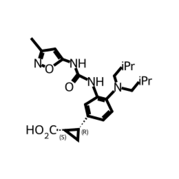 Cc1cc(NC(=O)Nc2cc([C@@H]3C[C@@H]3C(=O)O)ccc2N(CC(C)C)CC(C)C)on1